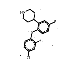 Fc1ccc(Sc2ccc(Cl)cc2F)c(C2CCNCC2)c1